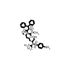 CC[C@@H](CCC[C@@H](CO)N(C(C)C)S(=O)(=O)c1ccc(N)cc1)N(C(=O)OC)C(=O)[C@@H](N)C(c1ccccc1)c1ccccc1